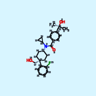 C[C@](O)(c1ccc(C(=O)N(C2CC2)[C@H]2CC[C@](CO)(c3ccccc3F)CC2)cc1)C(F)(F)F